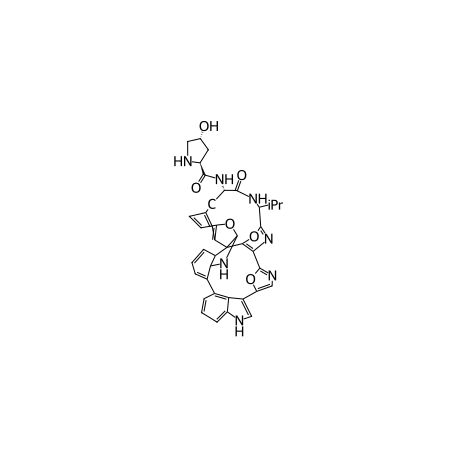 CC(C)C1NC(=O)[C@@H](NC(=O)[C@@H]2C[C@@H](O)CN2)Cc2ccc3c(c2)C24c5oc1nc5-c1ncc(o1)-c1c[nH]c5cccc(c15)C1=CC=CC2C1NC4O3